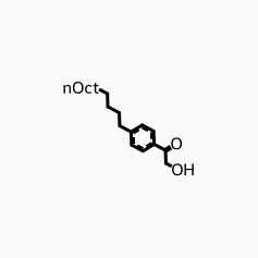 CCCCCCCCCCCCc1ccc(C(=O)CO)cc1